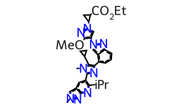 CCOC(=O)C1CC1n1cc(-n2cc3c(-c4nc(-c5cc6cn(C)nc6nc5C(C)C)n(C)c4C4CC4)cccc3n2)c(OC)n1